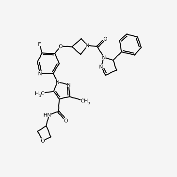 Cc1nn(-c2cc(OC3CN(C(=O)N4N=CCC4c4ccccc4)C3)c(F)cn2)c(C)c1C(=O)NC1COC1